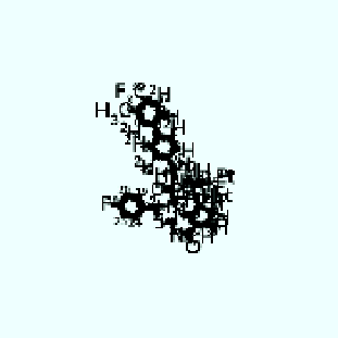 [2H]c1c([2H])c(C([2H])([2H])N(C(=O)C([2H])([2H])n2c(SCc3ccc(F)cc3)nc(=O)c3c2C([2H])([2H])C([2H])([2H])C3([2H])[2H])C([2H])([2H])C([2H])([2H])N(CC)CC)c([2H])c([2H])c1-c1c([2H])c([2H])c(C(F)(F)F)c(C)c1[2H]